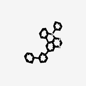 c1ccc(-c2cccc(-c3cc4c5c(ncnc5c3)N(c3ccccc3)c3ccccc3-4)c2)cc1